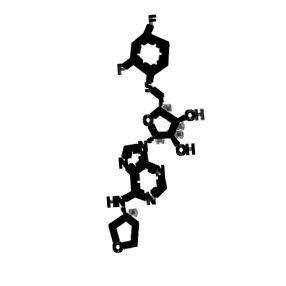 O[C@@H]1[C@H](O)[C@@H](CSc2ccc(F)cc2F)O[C@H]1n1cnc2c(N[C@@H]3CCOC3)ncnc21